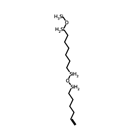 C=CCCCC[SiH2]O[SiH2]CCCCCC[SiH2]O[SiH3]